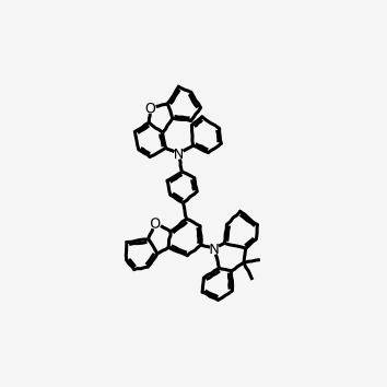 CC1(C)c2ccccc2N(c2cc(-c3ccc(N(c4ccccc4)c4cccc5oc6ccccc6c45)cc3)c3oc4ccccc4c3c2)c2ccccc21